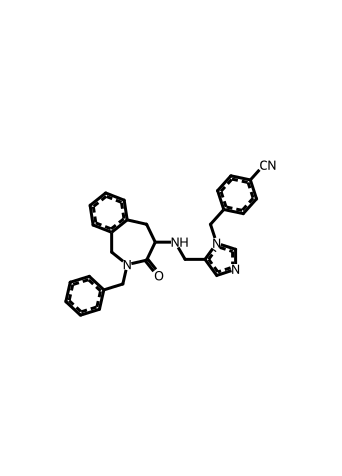 N#Cc1ccc(Cn2cncc2CNC2Cc3ccccc3CN(Cc3ccccc3)C2=O)cc1